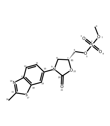 COS(=O)(=O)OC[C@H]1CN(c2ccc3nc(C)sc3c2)C(=O)O1